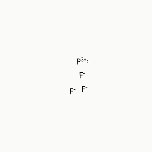 [F-].[F-].[F-].[P+3]